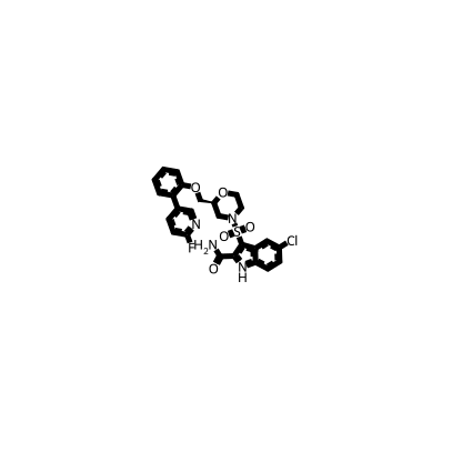 NC(=O)c1[nH]c2ccc(Cl)cc2c1S(=O)(=O)N1CCO[C@H](COc2ccccc2-c2ccc(F)nc2)C1